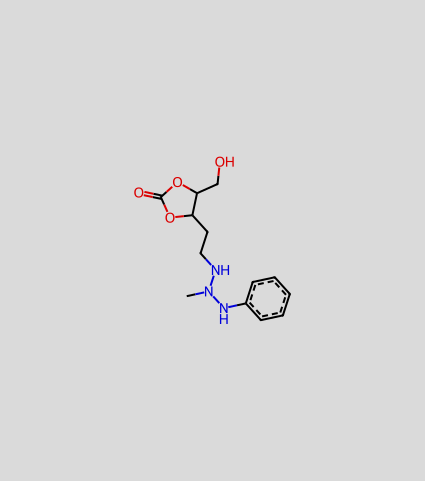 CN(NCCC1OC(=O)OC1CO)Nc1ccccc1